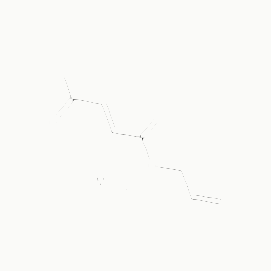 C=CCOC(=O)C=CC(=O)O.[MgH2]